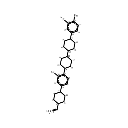 C=CC1CCC(c2ccc(C3CCC(C4CCC(c5ccc(F)c(F)c5)CC4)CC3)c(F)c2)CC1